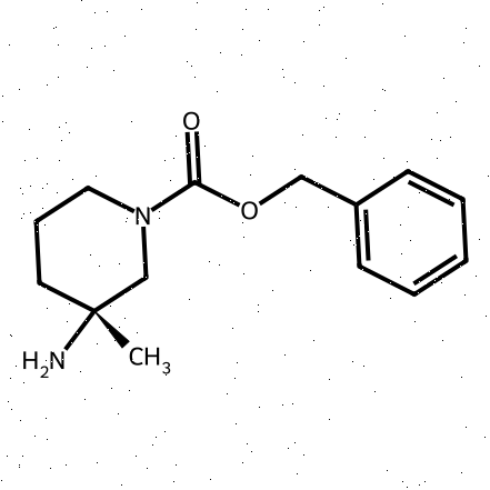 C[C@@]1(N)CCCN(C(=O)OCc2ccccc2)C1